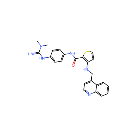 CN(C)C(=N)Nc1ccc(NC(=O)c2sccc2NCc2ccnc3ccccc23)cc1